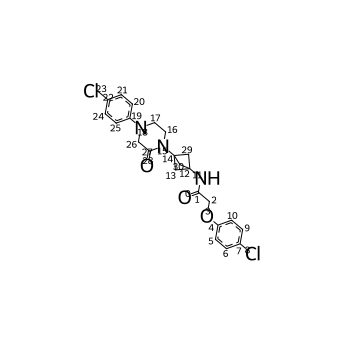 O=C(COc1ccc(Cl)cc1)NC12CC(N3CCN(c4ccc(Cl)cc4)CC3=O)(C1)C2